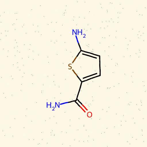 NC(=O)c1ccc(N)s1